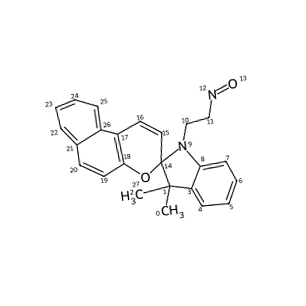 CC1(C)c2ccccc2N(CCN=O)C12C=Cc1c(ccc3ccccc13)O2